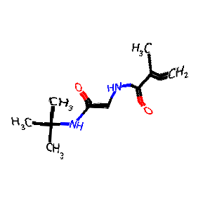 C=C(C)C(=O)NCC(=O)NC(C)(C)C